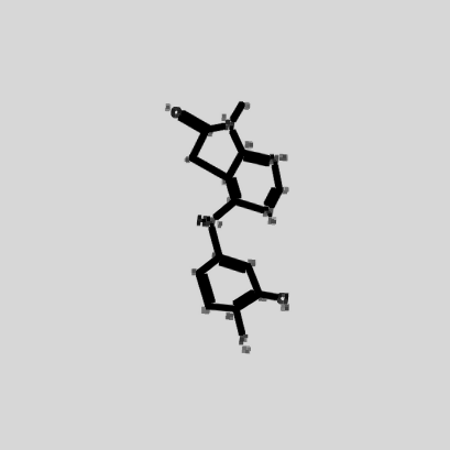 CN1C(=O)Cc2c(Nc3ccc(F)c(Cl)c3)ncnc21